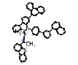 C/C(=C\C=C(/C)N(c1ccc(-c2cccc(-c3cccc4ccccc34)c2)cc1)c1cc(-c2cc3ccccc3c3ccccc23)ccc1-c1ccccc1)c1cccc2c1sc1ccccc12